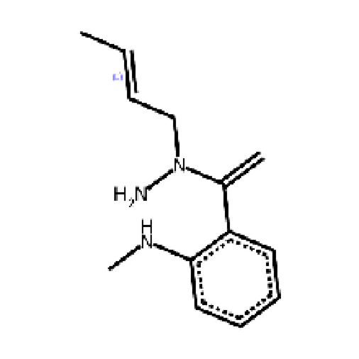 C=C(c1ccccc1NC)N(N)C/C=C/C